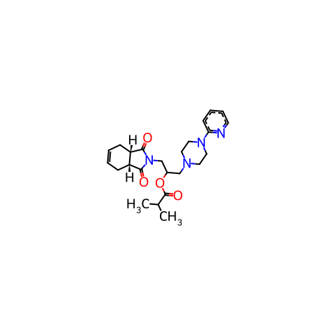 CC(C)C(=O)OC(CN1CCN(c2ccccn2)CC1)CN1C(=O)[C@H]2CC=CC[C@H]2C1=O